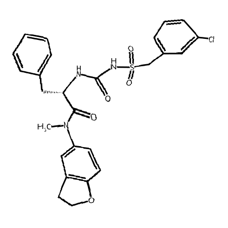 CN(C(=O)[C@H](Cc1ccccc1)NC(=O)NS(=O)(=O)Cc1cccc(Cl)c1)c1ccc2c(c1)CCO2